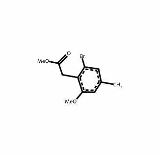 COC(=O)Cc1c(Br)cc(C)cc1OC